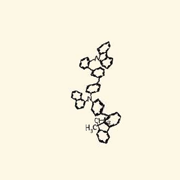 CC1(C)c2ccccc2-c2cccc(-c3ccc(N(c4ccc(-c5cccc(-c6ccccc6-n6c7ccccc7c7ccccc76)c5)cc4)c4cccc5ccccc45)cc3)c21